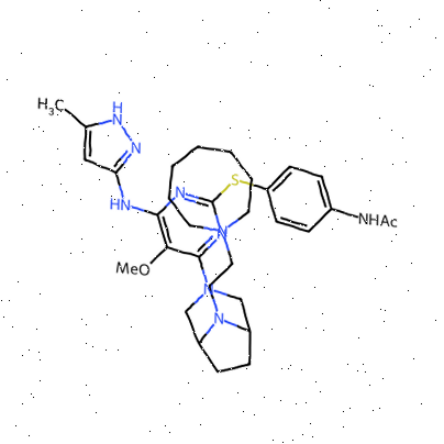 COc1c(Nc2cc(C)[nH]n2)nc(Sc2ccc(NC(C)=O)cc2)nc1N1CC2CCC(C1)N2CCN1CCCCCCC1